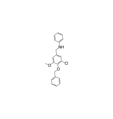 COc1cc(CNc2ccccc2)cc(Cl)c1OCc1ccccc1